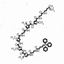 CN(C)CCCNC(=O)CCNC(=O)c1cc(NC(=O)c2cc(NC(=O)CCNC(=O)c3cc(NC(=O)c4nc(NC(=O)c5nc(NC(=O)CCNC(=O)CCCC[PH](c6ccccc6)(c6ccccc6)c6ccccc6)cn5C)cn4C)cn3C)cn2C)cn1C